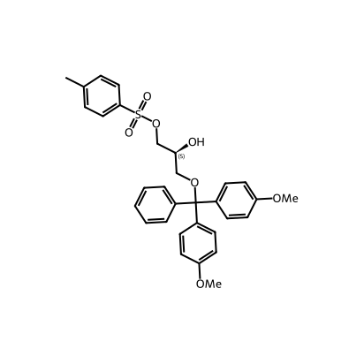 COc1ccc(C(OC[C@H](O)COS(=O)(=O)c2ccc(C)cc2)(c2ccccc2)c2ccc(OC)cc2)cc1